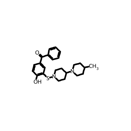 CC1CCN(C2CCN(Sc3cc(C(=O)c4ccccc4)ccc3O)CC2)CC1